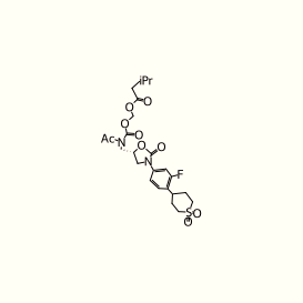 CC(=O)N(C[C@H]1CN(c2ccc(C3CCS(=O)(=O)CC3)c(F)c2)C(=O)O1)C(=O)OCOC(=O)CC(C)C